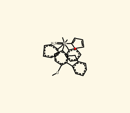 COc1cc[c]([Zr]([CH3])([CH3])(=[SiH2])([C]2=CC=CC2)([c]2ccccc2)[c]2ccccc2)c2c1-c1ccccc1C2